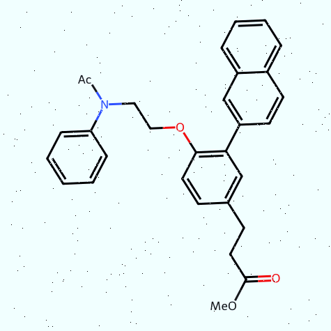 COC(=O)CCc1ccc(OCCN(C(C)=O)c2ccccc2)c(-c2ccc3ccccc3c2)c1